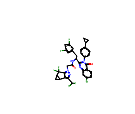 O=C(Cn1nc(C(F)F)c2c1C(F)(F)C1CC21)NC(Cc1cc(F)cc(F)c1)c1nc2cc(Br)ccc2c(=O)n1-c1ccc(C2CC2)cc1